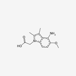 COc1ccc2c(c(C)c(C)n2CC(=O)O)c1N